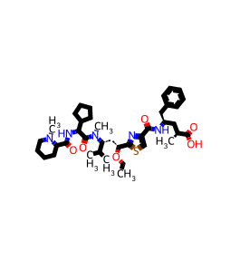 CCO[C@H](C[C@H](C(C)C)N(C)C(=O)C(NC(=O)C1CCCCN1C)C1CCCC1)c1nc(C(=O)N[C@@H](Cc2ccccc2)C[C@H](C)C(=O)O)cs1